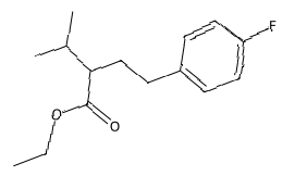 CCOC(=O)C(CCc1ccc(F)cc1)C(C)C